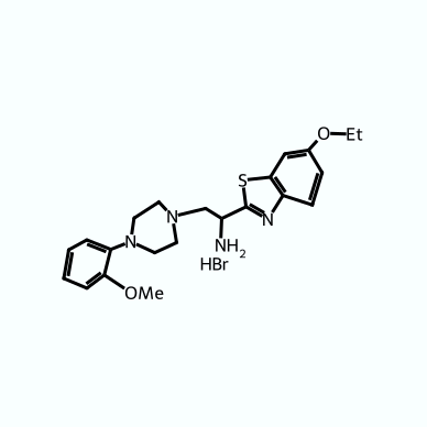 Br.CCOc1ccc2nc(C(N)CN3CCN(c4ccccc4OC)CC3)sc2c1